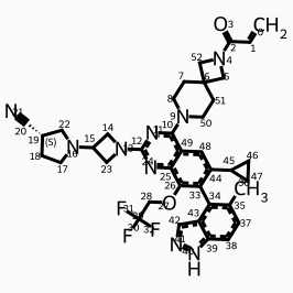 C=CC(=O)N1CC2(CCN(c3nc(N4CC(N5CC[C@H](C#N)C5)C4)nc4c(OCC(F)(F)F)c(-c5c(C)ccc6[nH]ncc56)c(C5CC5)cc34)CC2)C1